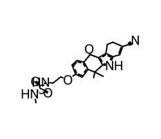 CNS(=O)(=O)NCCOc1ccc2c(c1)C(C)(C)c1[nH]c3c(c1C2=O)CCC(C#N)=C3